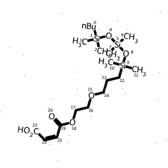 CCCC[Si](C)(C)O[Si](C)(C)O[Si](C)(C)CCCOCCOC(=O)/C=C\C(=O)O